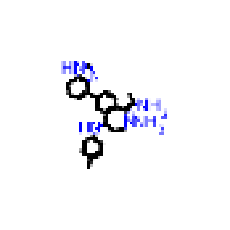 C/C(N)=C1\c2ccc(C3=CCCc4[nH]cnc43)cc2C(Nc2ccc(C)cc2)CCN1N